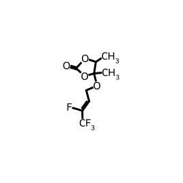 CC1OC(=O)OC1(C)OCC=C(F)C(F)(F)F